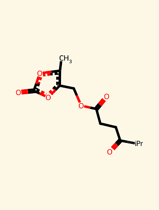 Cc1oc(=O)oc1COC(=O)CCC(=O)C(C)C